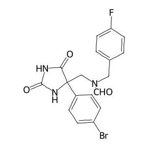 O=CN(Cc1ccc(F)cc1)CC1(c2ccc(Br)cc2)NC(=O)NC1=O